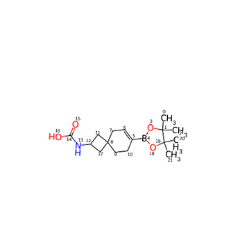 CC1(C)OB(C2=CCC3(CC2)CC(NC(=O)O)C3)OC1(C)C